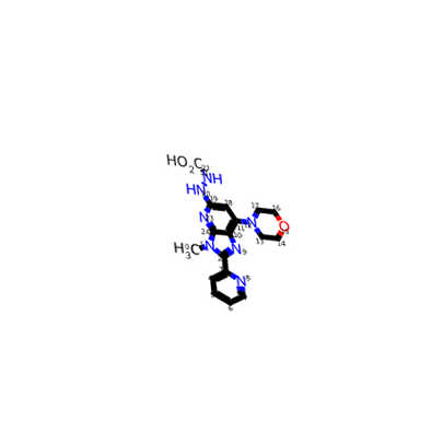 Cn1c(-c2ccccn2)nc2c(N3CCOCC3)cc(NNC(=O)O)nc21